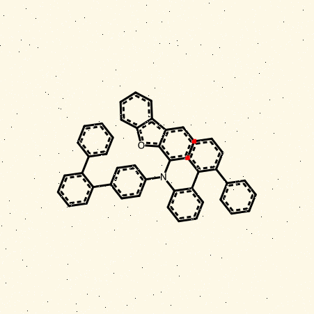 c1ccc(-c2ccccc2-c2ccc(N(c3ccccc3-c3ccccc3-c3ccccc3)c3cccc4c3oc3ccccc34)cc2)cc1